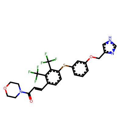 O=C(/C=C/c1ccc(Sc2cccc(OCc3c[nH]cn3)c2)c(C(F)(F)F)c1C(F)(F)F)N1CCOCC1